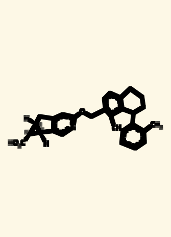 Cc1ccccc1C1CCCc2ccc(COc3cc4c(cn3)[C@H]3[C@@H](C4)[C@@H]3C(=O)O)c(C)c21